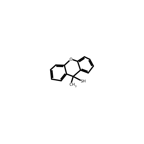 CC1(S)c2ccccc2Oc2ccccc21